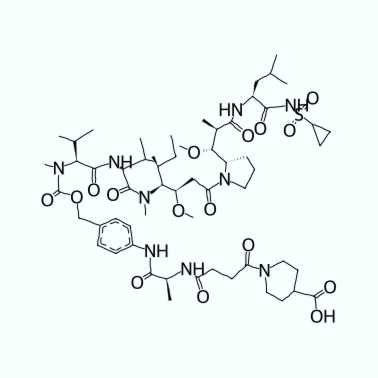 CC[C@H](C)[C@@H]([C@@H](CC(=O)N1CCC[C@H]1[C@H](OC)[C@@H](C)C(=O)N[C@@H](CC(C)C)C(=O)NS(=O)(=O)C1CC1)OC)N(C)C(=O)[C@@H](NC(=O)[C@H](C(C)C)N(C)C(=O)OCc1ccc(NC(=O)[C@H](C)NC(=O)CCC(=O)N2CCC(C(=O)O)CC2)cc1)C(C)C